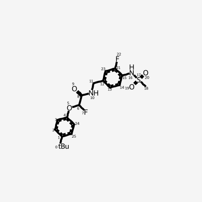 CC(C)(C)c1ccc(OC(F)C(=O)NCc2ccc(NS(C)(=O)=O)c(F)c2)cc1